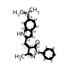 CC1=NN(c2ccccc2)C(=O)/C1=C\c1cc2ccc(N(C)C)cc2[nH]1